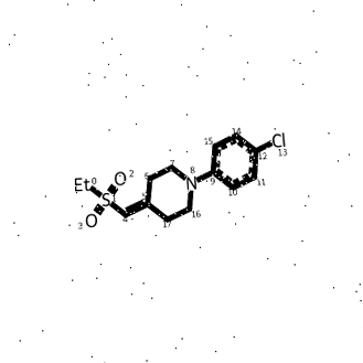 CCS(=O)(=O)C=C1CCN(c2ccc(Cl)cc2)CC1